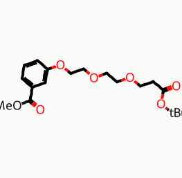 COC(=O)c1cccc(OCCOCCOCCC(=O)OC(C)(C)C)c1